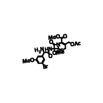 COC(=O)C1=C(COC(C)=O)CS[C@@H]2N1C(=O)C2(NC(=O)C(N)c1cc(Br)cc(OC)c1)OC